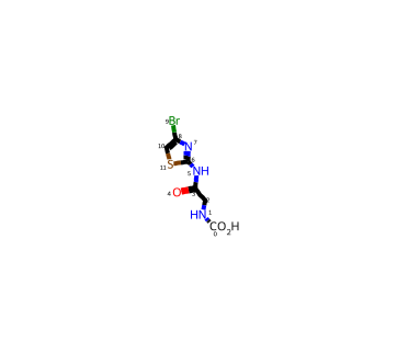 O=C(O)NCC(=O)Nc1nc(Br)cs1